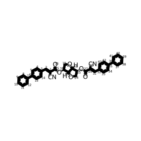 N#C/C(=C\c1ccc(-c2ccccc2)cc1)C(=O)O[C@H]1CO[C@H]2[C@@H]1OC[C@H]2OC(=O)/C(C#N)=C/c1ccc(-c2ccccc2)cc1